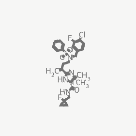 C=C(CCN(Cc1ccc(Cl)c(F)c1)S(=O)(=O)c1ccccc1)C1=NC(C)(C)[C@H](C(=O)NCC2(F)CC2)N1